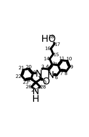 O=C1N(Cc2ncc3ccccc3c2CCCCO)c2ccccc2C12CNC2